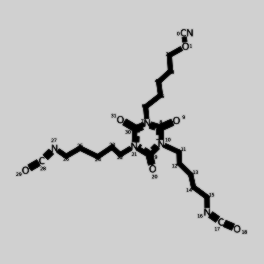 N#COCCCCCn1c(=O)n(CCCCCN=C=O)c(=O)n(CCCCCN=C=O)c1=O